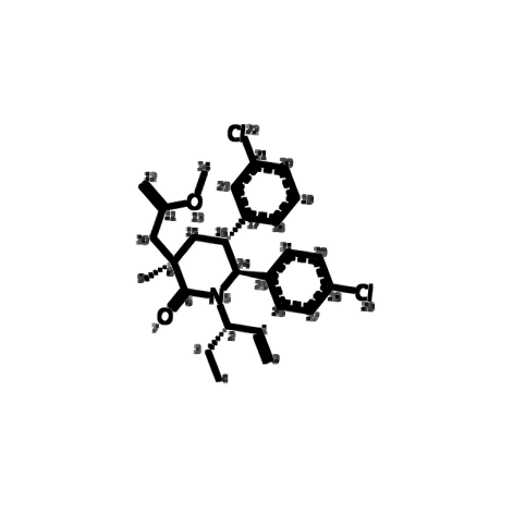 C=C[C@H](CC)N1C(=O)[C@@](C)(CC(=C)OC)C[C@H](c2cccc(Cl)c2)[C@H]1c1ccc(Cl)cc1